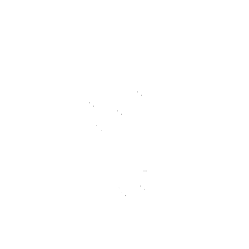 CNc1nc(Nc2cc3cnn(C)c(=O)c3cc2OC)ncc1C(F)(F)F